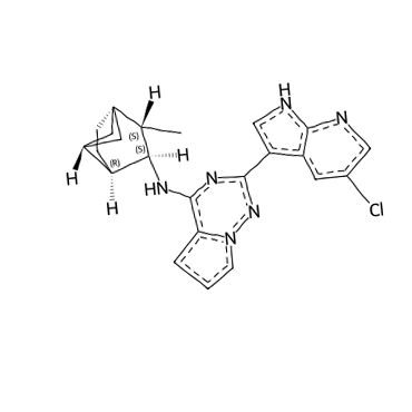 C[C@@H]1[C@@H](Nc2nc(-c3c[nH]c4ncc(Cl)cc34)nn3cccc23)[C@@H]2CC[C@]13C[C@@H]2C3